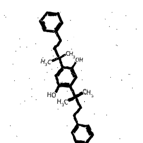 CC(C)(CCc1ccccc1)c1cc(O)c(C(C)(C)CCc2ccccc2)cc1O